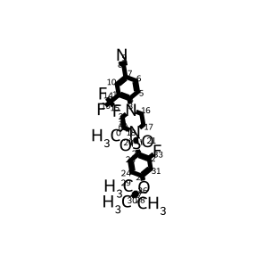 C[C@@H]1CN(c2ccc(C#N)cc2C(F)(F)F)CCN1S(=O)(=O)c1ccc(OC(C)(C)C)cc1F